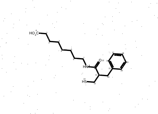 O=C(O)CCCCCCCNC(=O)C(CS)Cc1ccccc1